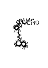 CNC(=O)C(CCC=O)N1Cc2c(CCCCCN3CCCCc4ccccc43)cccc2C1=O